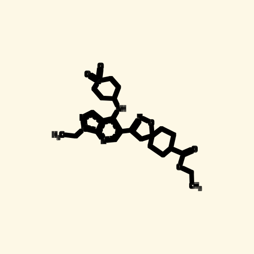 CCOC(=O)C1CCC2(CC1)CC(c1cnc3c(cnn3CC)c1NC1CCS(=O)(=O)CC1)=NO2